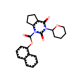 O=C(Oc1cccc2ccccc12)n1c2c(c(=O)n(C3CCCCO3)c1=O)CCC2